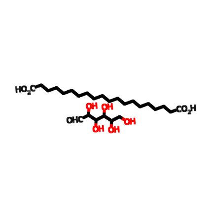 O=C(O)CCCCCCCCCCCCCCCCCCC(=O)O.O=CC(O)C(O)C(O)C(O)CO